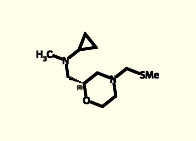 CSCN1CCO[C@H](CN(C)C2CC2)C1